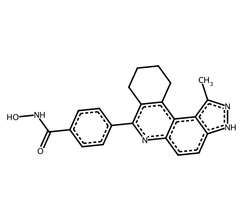 Cc1n[nH]c2ccc3nc(-c4ccc(C(=O)NO)cc4)c4c(c3c12)CCCC4